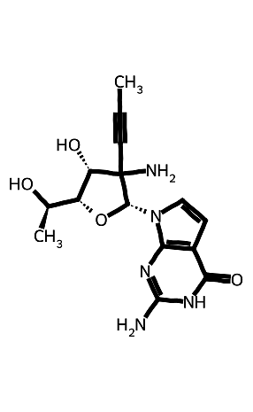 CC#CC1(N)[C@@H](O)[C@@H]([C@@H](C)O)O[C@H]1n1ccc2c(=O)[nH]c(N)nc21